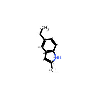 CCc1ccc2[nH]c(C)cc2c1